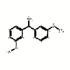 NC(c1cccc(OC(F)(F)F)c1)c1cccc(OC(F)(F)F)c1